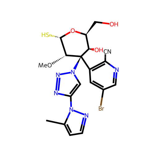 CO[C@@H]1[C@H](S)O[C@@H](CO)[C@@H](O)[C@@]1(c1cc(Br)cnc1C#N)n1cc(-n2nccc2C)nn1